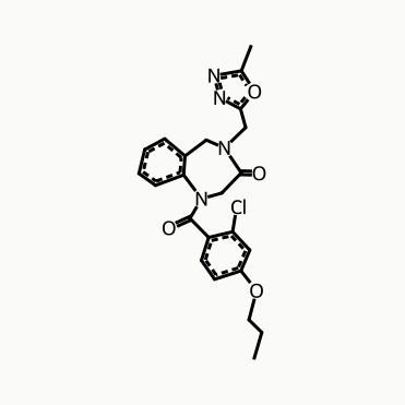 CCCOc1ccc(C(=O)N2CC(=O)N(Cc3nnc(C)o3)Cc3ccccc32)c(Cl)c1